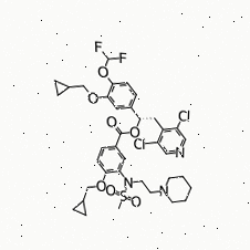 CS(=O)(=O)N(CCN1CCCCC1)c1cc(C(=O)O[C@@H](Cc2c(Cl)cncc2Cl)c2ccc(OC(F)F)c(OCC3CC3)c2)ccc1OCC1CC1